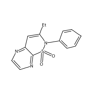 CCC1=Cc2nccnc2S(=O)(=O)N1c1ccccc1